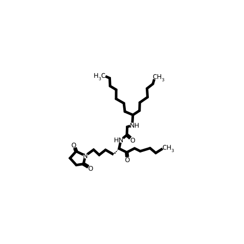 CCCCCCCC(CCCCCC)NCC(=O)N[C@@H](CCCCN1C(=O)CCC1=O)C(=O)CCCCC